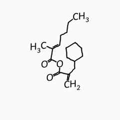 C=C(CC1CCCCC1)C(=O)OC(=O)C(C)=CCCCC